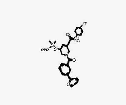 CC(C)(C)[Si](C)(C)OC1CC(C(=O)Nc2ccc(Cl)cc2)CN(C(=O)c2cccc(-c3ccco3)c2)C1